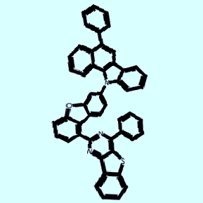 c1ccc(-c2cc3c4ccccc4n(-c4ccc5c(c4)oc4cccc(-c6nc(-c7ccccc7)c7sc8ccccc8c7n6)c45)c3c3ccccc23)cc1